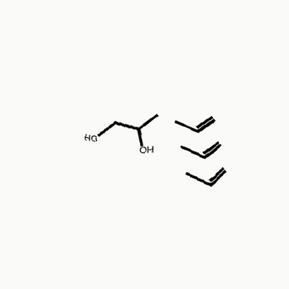 C=CC.C=CC.C=CC.CC(O)CO